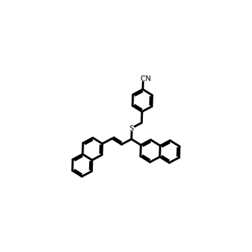 N#Cc1ccc(CSC(C=Cc2ccc3ccccc3c2)c2ccc3ccccc3c2)cc1